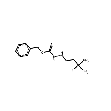 BC(F)(P)CCNNC(=O)OCc1ccccc1